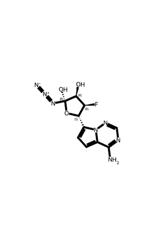 [N-]=[N+]=N[C@]1(O)O[C@@H](c2ccc3c(N)ncnn23)[C@H](F)[C@@H]1O